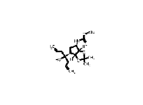 C=CCC(O)(CC=C)[C@H]1C[C@@H](NC(=O)OC(C)(C)C)[C@@H]2OC(C)(C)O[C@@H]21